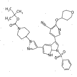 CC(C)(C)OC(=O)N1CCC(n2cc(C3=CNC4C(=C3)C(c3cnc(OC5CCOCC5)c(C#N)c3)=CN4S(=O)(=O)c3ccccc3)cn2)CC1